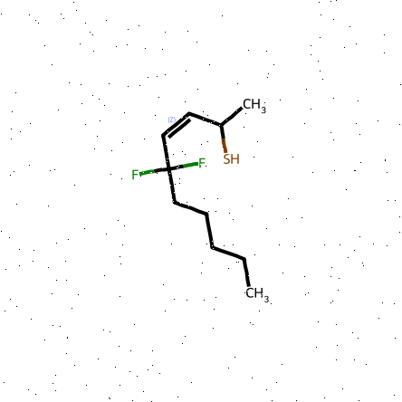 CCCCCC(F)(F)/C=C\C(C)S